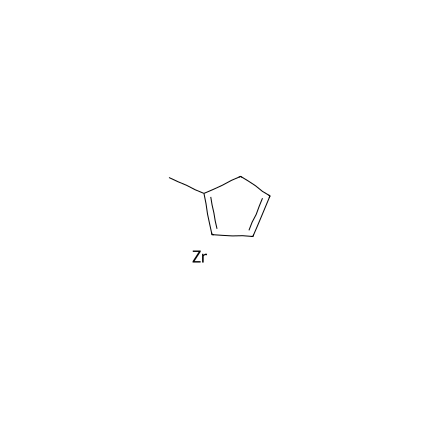 CC1=CC=CC1.[Zr]